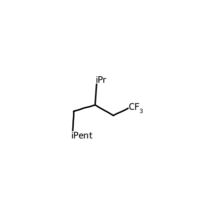 CCCC(C)CC(CC(F)(F)F)C(C)C